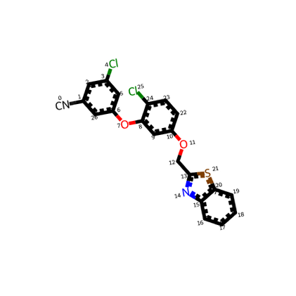 [C-]#[N+]c1cc(Cl)cc(Oc2cc(OCc3nc4ccccc4s3)ccc2Cl)c1